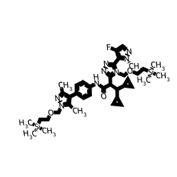 Cc1nn(COCC[Si](C)(C)C)c(C)c1-c1ccc(NC(=O)C(c2nnc(-c3c(F)cnn3C)n2COCC[Si](C)(C)C)C(C2CC2)C2CC2)cc1